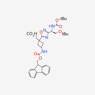 CC(C)(C)OC[C@H](NC(=O)OC(C)(C)C)c1noc(C2(CC(=O)O)CC(NC(=O)OCC3c4ccccc4-c4ccccc43)C2)n1